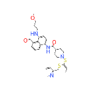 C=C/C(CS/C(=C\C)SN1CCC(C(=O)Nc2ccc(NCCCOC)c3c(C=O)cccc23)CC1)=N\C